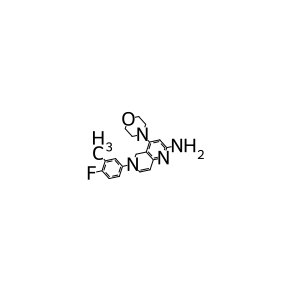 Cc1cc(N2C=Cc3nc(N)cc(N4CCOCC4)c3C2)ccc1F